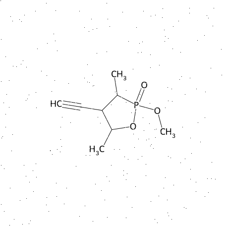 C#CC1C(C)OP(=O)(OC)C1C